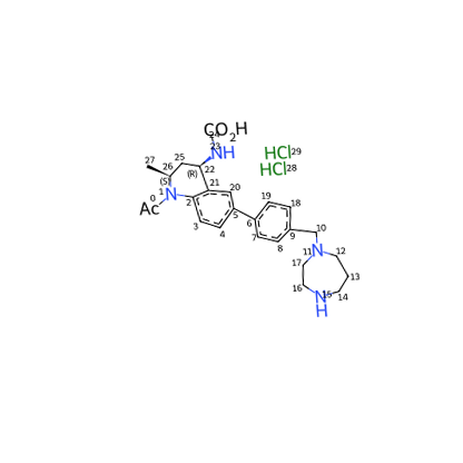 CC(=O)N1c2ccc(-c3ccc(CN4CCCNCC4)cc3)cc2[C@H](NC(=O)O)C[C@@H]1C.Cl.Cl